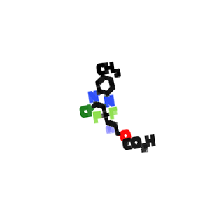 Cc1ccc2nc(C(F)(F)/C=C/COC(=O)O)c(Cl)nc2c1